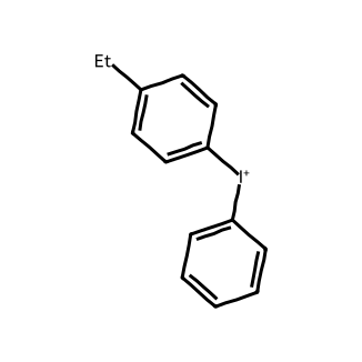 CCc1ccc([I+]c2ccccc2)cc1